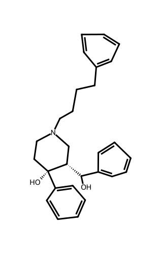 OC(c1ccccc1)[C@H]1CN(CCCCc2ccccc2)CC[C@]1(O)c1ccccc1